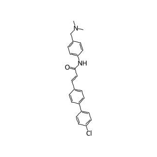 CN(C)Cc1ccc(NC(=O)/C=C/c2ccc(-c3ccc(Cl)cc3)cc2)cc1